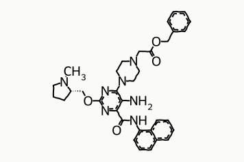 CN1CCC[C@H]1COc1nc(C(=O)Nc2cccc3ccccc23)c(N)c(N2CCN(CC(=O)OCc3ccccc3)CC2)n1